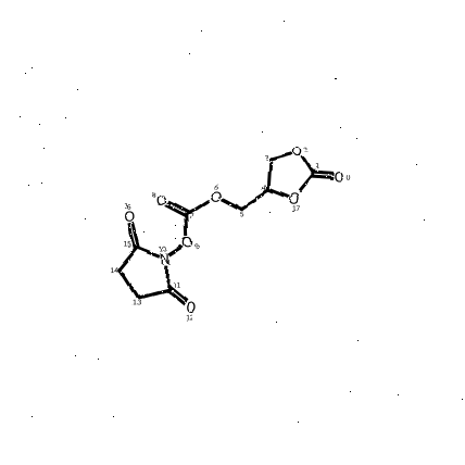 O=C1OCC(COC(=O)ON2C(=O)CCC2=O)O1